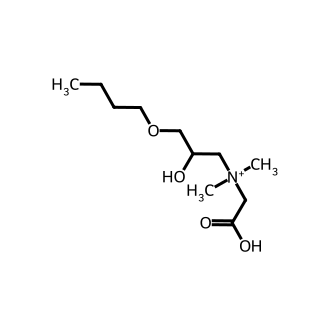 CCCCOCC(O)C[N+](C)(C)CC(=O)O